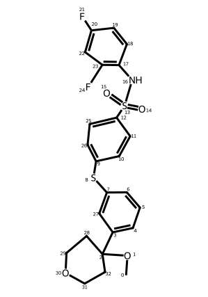 COC1(c2cccc(Sc3ccc(S(=O)(=O)Nc4ccc(F)cc4F)cc3)c2)CCOCC1